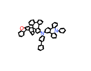 c1ccc(-c2ccc(N(c3ccc4c(c3)-c3ccccc3N(c3ccccc3)c3ccccc3-4)c3ccc4c(c3)-c3ccccc3-c3ccccc3C43c4ccccc4-c4c3ccc3oc5ccccc5c43)cc2)cc1